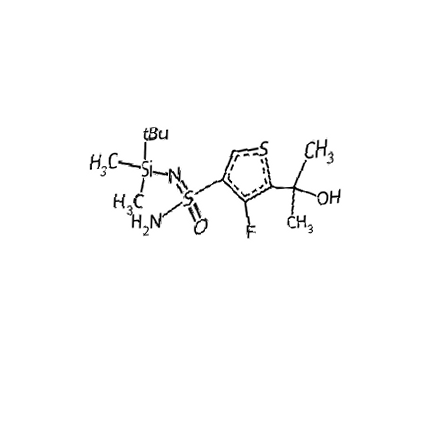 CC(C)(O)c1scc(S(N)(=O)=N[Si](C)(C)C(C)(C)C)c1F